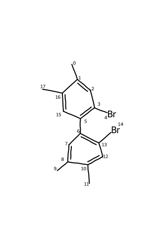 Cc1cc(Br)c(-c2cc(C)c(C)cc2Br)cc1C